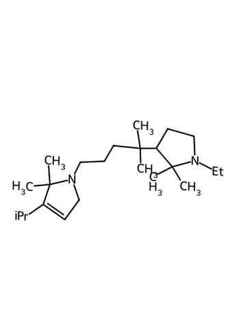 CCN1CCC(C(C)(C)CCCN2CC=C(C(C)C)C2(C)C)C1(C)C